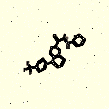 C[C@@H](Nc1ccccn1)C(=O)N1CCc2c(cccc2-c2ccc(C(F)(F)F)cc2)C1